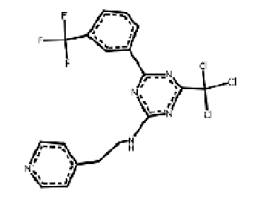 FC(F)(F)c1cccc(-c2nc(NCCc3ccncc3)nc(C(Cl)(Cl)Cl)n2)c1